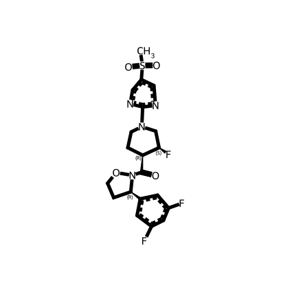 CS(=O)(=O)c1cnc(N2CC[C@H](C(=O)N3OCC[C@@H]3c3cc(F)cc(F)c3)[C@H](F)C2)nc1